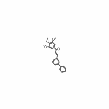 COc1cc(C(=O)C=Cc2cccc(-c3ccccc3)n2)cc(OC)c1OC